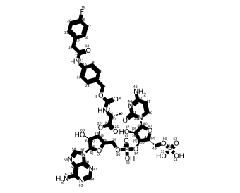 C[C@@H](NC(=O)OCc1ccc(NC(=O)Cc2ccc(F)cc2)cc1)C(=O)O[C@@H]1C(COP(=O)(O)O[C@H]2[C@@H](O)[C@H](n3ccc(N)nc3=O)O[C@@H]2COP(=O)(O)O)O[C@@H](n2cnc3c(N)ncnc32)[C@@H]1O